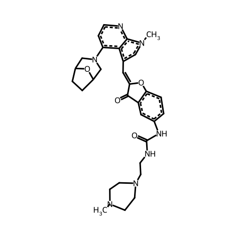 CN1CCN(CCNC(=O)Nc2ccc3c(c2)C(=O)/C(=C/c2cn(C)c4nccc(N5CC6CCC(C5)O6)c24)O3)CC1